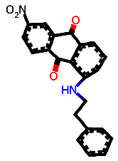 O=C1c2cc([N+](=O)[O-])ccc2C(=O)c2c(NCCc3ccccc3)cccc21